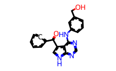 O=C(c1ccccc1)c1c[nH]c2ncnc(Nc3cccc(CO)c3)c12